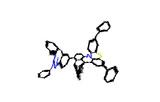 c1ccc(-c2ccc3c(c2)sc2cc(-c4ccccc4)cc4c2-n3c2ccc(-c3ccc5c(c3)c3ccccc3n5-c3ccccc3)c3cccc4c32)cc1